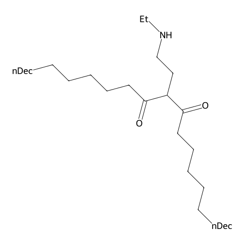 CCCCCCCCCCCCCCCC(=O)C(CCNCC)C(=O)CCCCCCCCCCCCCCC